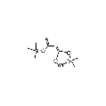 C=C(/C=C(\OC(C)C)O[Si](C)(C)C)O[Si](C)(C)C